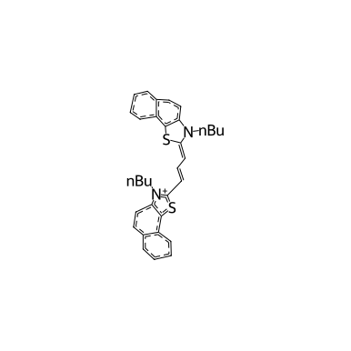 CCCCN1/C(=C/C=C/c2sc3c4ccccc4ccc3[n+]2CCCC)Sc2c1ccc1ccccc21